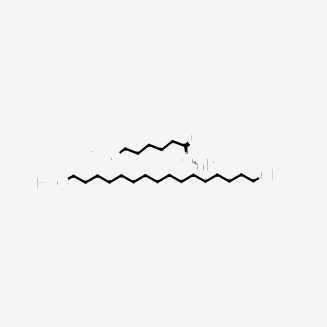 CCCCCCCCCCCCCCCC(=O)OCCC.CCCCCCCCCCCCCCCCCC